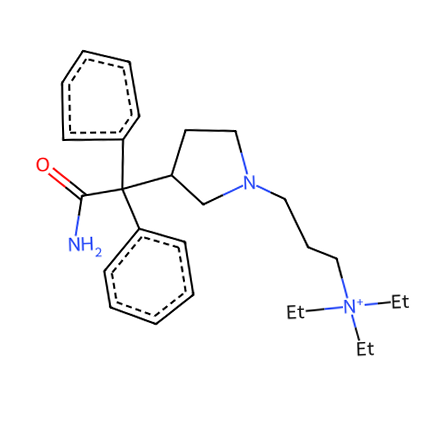 CC[N+](CC)(CC)CCCN1CCC(C(C(N)=O)(c2ccccc2)c2ccccc2)C1